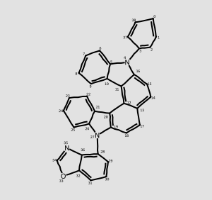 c1ccc(-n2c3ccccc3c3c4c(ccc32)ccc2c4c3ccccc3n2-c2cccc3ocnc23)cc1